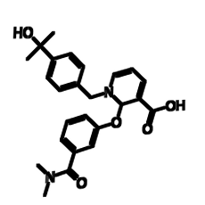 CN(C)C(=O)c1cccc(OC2C(C(=O)O)=CC=CN2Cc2ccc(C(C)(C)O)cc2)c1